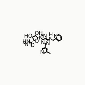 CNNC(=O)[C@H]1O[C@@H](n2cnc3c(NCc4ccccn4)nc(-c4cncc(C)c4)nc32)[C@H](O)[C@@H]1O